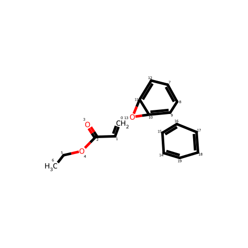 C=CC(=O)OCC.c1ccc2c(c1)O2.c1ccccc1